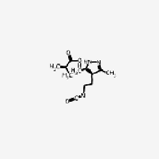 C=C(C)C(=O)O.Cc1n[nH]c(C)c1CCN=C=O